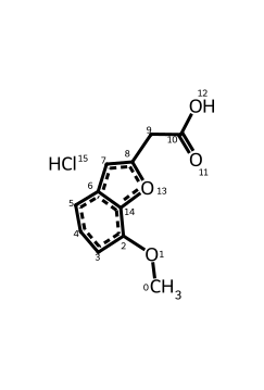 COc1cccc2cc(CC(=O)O)oc12.Cl